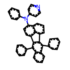 c1ccc(-c2c3c(c(-c4ccccc4)c4ccccc24)-c2ccc(N(c4ccccc4)c4ccncc4)c4cccc-3c24)cc1